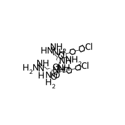 N=C(N)NCCC[C@H](NC(=O)[C@H](Cc1ccc(-c2ccc(Cl)cc2)cc1)NC(=O)[C@H](CCCNC(=N)N)NC(=O)[C@@H](N)Cc1ccc(-c2ccc(Cl)cc2)cc1)C(N)=O